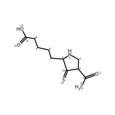 CC(=O)C1CNC(CCCCC(=O)O)C1=S